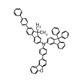 CC1(C)c2cc(-c3ccc(-c4ccccc4)cc3)ccc2-c2ccc(N(c3ccc(-c4ccc5oc6ccccc6c5c4)cc3)c3ccc4c(c3)-c3ccccc3C4(c3ccccc3)c3ccccc3)cc21